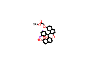 CC(C)(C)OC(=O)COc1ccc2ccc3c(c2c1)C(c1cc(I)cc(I)c1O)c1c(ccc2ccc(O)cc12)O3